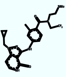 CNCCN(CC(F)(F)F)C(=O)c1ccc(Nc2nn(CC3CC3)c3cc[nH]c(=O)c23)cc1C